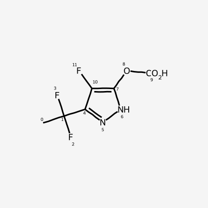 CC(F)(F)c1n[nH]c(OC(=O)O)c1F